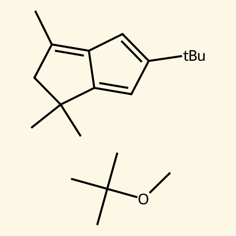 CC1=C2C=C(C(C)(C)C)C=C2C(C)(C)C1.COC(C)(C)C